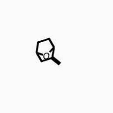 C=C1CC2CCC1O2